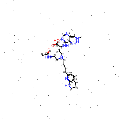 CN/C=C1/N=CN=C(N[C@@H](CCN(CCCCc2ccc3c(n2)NCCC3)CCNC(C)=O)C(=O)O)C1=N